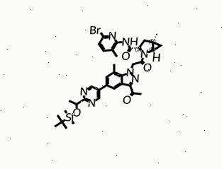 CC(=O)c1nn(CC(=O)N2[C@H](C(=O)Nc3nc(Br)ccc3C)C[C@@]3(C)C[C@@H]23)c2c(C)cc(-c3cnc(C(C)O[Si](C)(C)C(C)(C)C)nc3)cc12